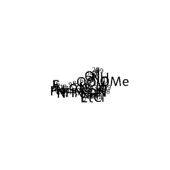 CCNC(=N)N(C(=O)c1ccc(-c2cnn(C(F)F)c2)cc1)[C@H](COC(=O)NC1CC1)c1ccc(Cl)c(-c2nccc(OC)n2)c1